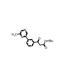 Cc1cncc(-c2cccc(C(=O)CC(=O)OC(C)(C)C)c2)n1